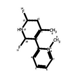 CC1=C(c2cccc[n+]2C)C(F)NC(F)C1